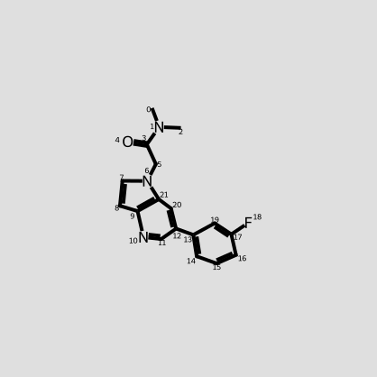 CN(C)C(=O)Cn1ccc2ncc(-c3cccc(F)c3)cc21